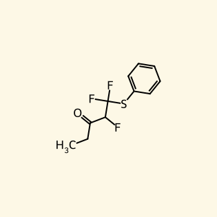 CCC(=O)C(F)C(F)(F)Sc1ccccc1